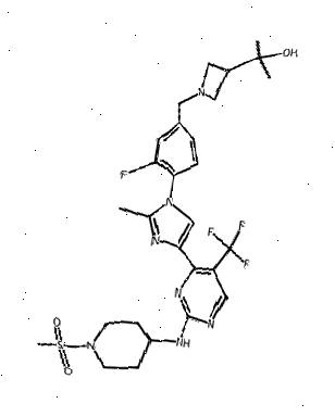 Cc1nc(-c2nc(NC3CCN(S(C)(=O)=O)CC3)ncc2C(F)(F)F)cn1-c1ccc(CN2CC(C(C)(C)O)C2)cc1F